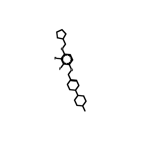 CC1CCC(C2CC=C(COc3ccc(OCC4CCCC4)c(F)c3F)CC2)CC1